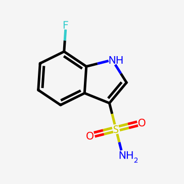 NS(=O)(=O)c1c[nH]c2c(F)cccc12